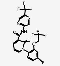 O=C(Nc1cnc(C(F)(F)F)cn1)c1cccn(-c2ccc(F)cc2OCC(F)(F)F)c1=O